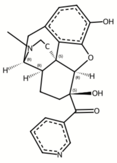 CN1CC[C@]23c4c5ccc(O)c4O[C@H]2[C@](O)(C(=O)c2cccnc2)CC[C@H]3[C@H]1C5